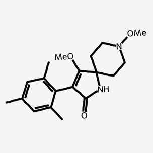 COC1=C(c2c(C)cc(C)cc2C)C(=O)NC12CCN(OC)CC2